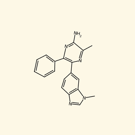 Cc1nc(-c2ccc3ncn(C)c3c2)c(-c2ccccc2)nc1N